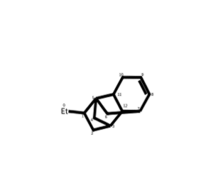 CCC1CC2CC13CC1C=CCC3C12